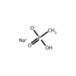 CP(=O)([O-])O.[Na+]